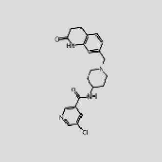 O=C1CCc2ccc(CN3CCC(NC(=O)c4cncc(Cl)c4)CC3)cc2N1